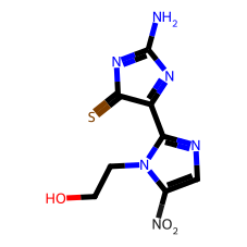 NC1=NC(=S)C(c2ncc([N+](=O)[O-])n2CCO)=N1